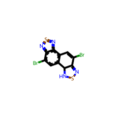 BrC1=Cc2c(cc(Br)c3nsnc23)C2NSN=C12